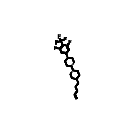 C=CCCC[C@H]1CC[C@H]([C@H]2CC[C@H](c3cc(F)c(C(F)(F)F)c(F)c3)CC2)CC1